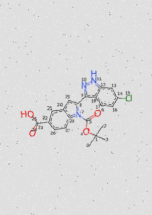 CC(C)(C)OC(=O)n1c(-c2n[nH]c3cc(Cl)ccc23)cc2cc(C(=O)O)ccc21